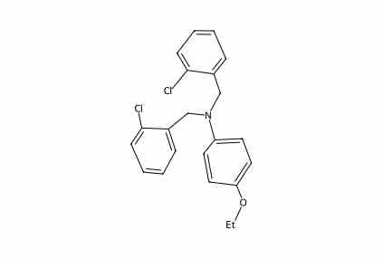 CCOc1ccc(N(Cc2ccccc2Cl)Cc2ccccc2Cl)cc1